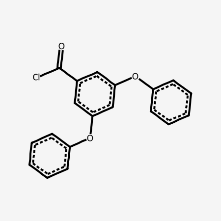 O=C(Cl)c1cc(Oc2ccccc2)cc(Oc2ccccc2)c1